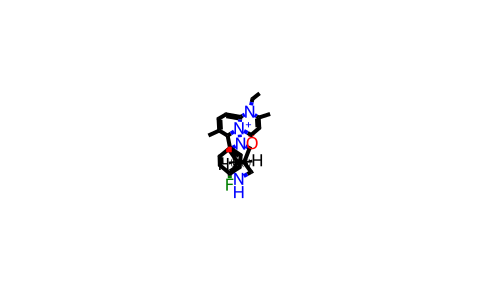 CCN1C(C)=CC(=O)[N+]2(N3C[C@H]4CNC[C@H]4C3)C1=CC=C(C)C2c1ccc(F)cc1